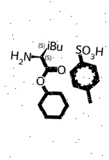 CC[C@H](C)[C@H](N)C(=O)OC1CCCCC1.Cc1ccc(S(=O)(=O)O)cc1